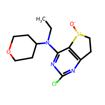 CCN(c1nc(Cl)nc2c1[S+]([O-])CC2)C1CCOCC1